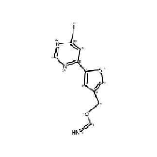 N=COCc1csc(-c2cc(I)ncn2)c1